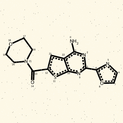 Nc1nc(-c2ncco2)nc2sc(C(=O)N3CCOCC3)cc12